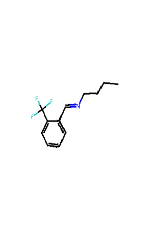 CCCCN=Cc1ccccc1C(F)(F)F